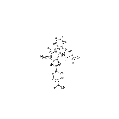 CC(=O)N1CCC(c2nc3c(C#N)c(C)c(-c4ccccc4)c(N4CC[C@H](N(C)C)C4)c3o2)CC1